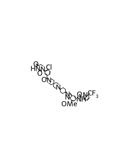 COc1cc2nn([C@H]3CC[C@H](N4CCC5(CCN(C(=O)c6ccc(Cl)c(N7CCC(=O)NC7=O)c6)CC5)CC4)CC3)cc2cc1NC(=O)c1cccc(C(F)(F)F)n1